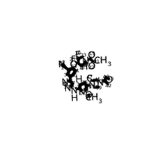 COc1nc(Nc2cc(-c3ccc(O[C@@H]4CCN(C(=O)C(C)O)CC4(F)F)c(C#N)c3)ncn2)ccc1N1CCN(C2COC2)C[C@H]1C